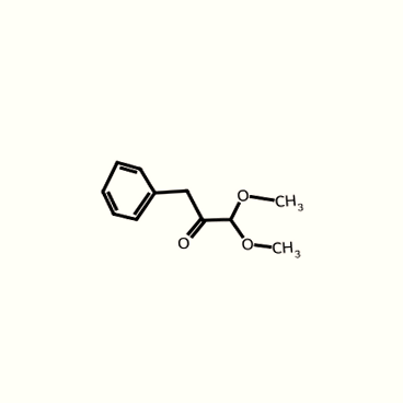 COC(OC)C(=O)Cc1ccccc1